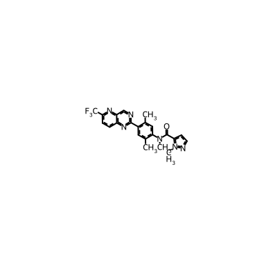 Cc1cc(N(C)C(=O)c2ccnn2C)c(C)cc1-c1ncc2nc(C(F)(F)F)ccc2n1